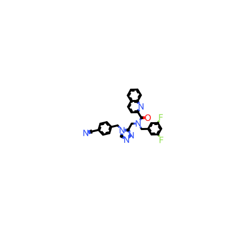 N#Cc1ccc(Cn2cnnc2CN(Cc2cc(F)cc(F)c2)C(=O)c2ccc3ccccc3n2)cc1